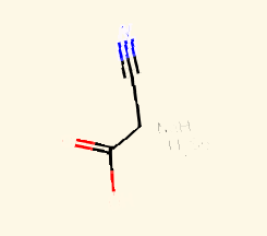 N#CCC(=O)O.[NaH].[SeH2]